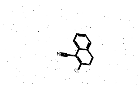 N#CC1=C(Cl)CCc2ccccc21